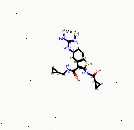 CONC(=NC#N)NC1CCc2sc(NC(=O)C3CC3)c(C(=O)NCC3CC3)c2C1